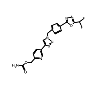 NC(=O)OCc1ccc(-c2cn(Cc3ccc(-c4nnc(C(F)F)o4)cc3)nn2)cn1